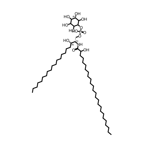 CCCCCCCCCCCCCCCCCCCCCCCCC(O)C(=O)N[C@@H](COP(=O)(O)OC1C(O)C(O)C(O)[C@@H](O)C1O)[C@H](O)CCCCCCCCCCCCCCCCC